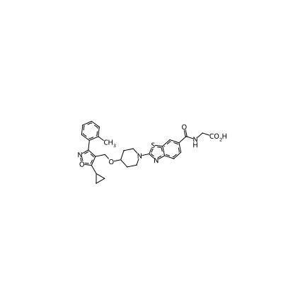 Cc1ccccc1-c1noc(C2CC2)c1COC1CCN(c2nc3ccc(C(=O)NCC(=O)O)cc3s2)CC1